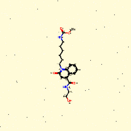 CC(C)(C)OC(=O)NCCCCCCn1c(=O)cc(C(=O)NCCO)c2ccccc21